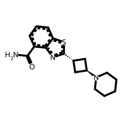 NC(=O)c1c[c]cc2sc([C@H]3C[C@H](N4CCCCC4)C3)nc12